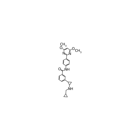 COc1cc(OC)nc(-c2ccc(NC(=O)c3cccc(C4CC4NCC4CC4)c3)cc2)n1